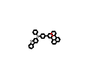 c1ccc(-c2cccc3cccc(-c4cccc(-c5ccc(N(c6ccccc6)c6ccc7c(c6)sc6ccccc67)cc5)c4)c23)cc1